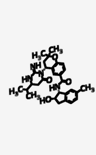 Cc1ccc2c(c1)[C@@H](NC(=O)c1ccc3c(c1)[C@H](N1C(=N)NC(C(C)C)CC1=O)CC(C)(C)O3)[C@H](O)C2